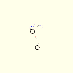 CN(C)CCN(C)n1ncc2ccc(OCCOCc3ccccc3)cc21